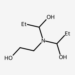 CCC(O)N(CCO)C(O)CC